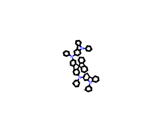 C1=C(N(c2ccccc2)c2ccc3c(c2)C2(c4ccccc4-c4ccccc42)c2cc(N(c4ccccc4)c4ccc5c(c4)c4ccccc4n5-c4ccccc4)ccc2-3)C=C2C(C1)c1ccccc1N2c1ccccc1